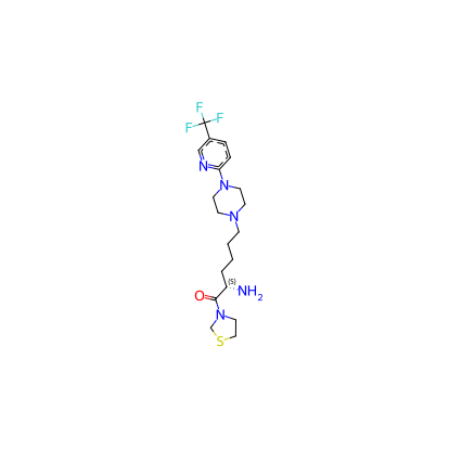 N[C@@H](CCCCN1CCN(c2ccc(C(F)(F)F)cn2)CC1)C(=O)N1CCSC1